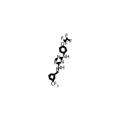 FC(F)C(F)(F)Oc1ccc(Nc2ncnc(N/N=C/c3cccc(C(F)(F)F)c3)n2)cc1